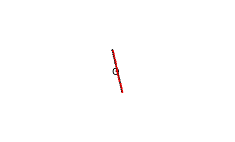 CCCCCCCCCCCCCCCCCCCCCC(=O)CCCCCCCCCCCCCCCCCCCCC